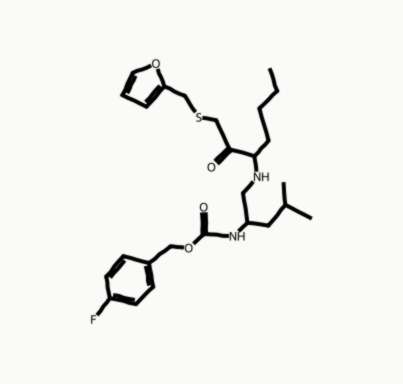 CCCCC(NCC(CC(C)C)NC(=O)OCc1ccc(F)cc1)C(=O)CSCc1ccco1